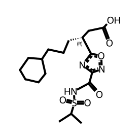 CC(C)S(=O)(=O)NC(=O)c1noc([C@H](CCCC2CCCCC2)CC(=O)O)n1